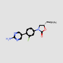 CC(=O)NC[C@H]1CN(c2ccc(-c3cnc(N)nc3)c(F)c2)C(=O)O1